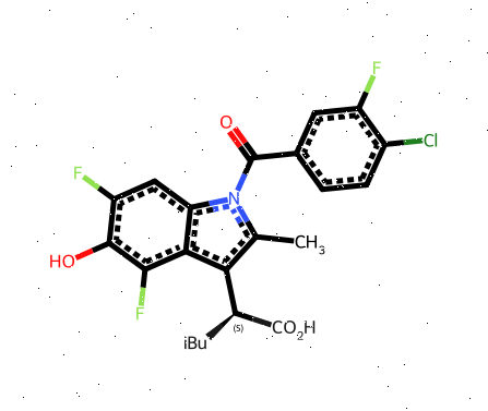 CCC(C)[C@H](C(=O)O)c1c(C)n(C(=O)c2ccc(Cl)c(F)c2)c2cc(F)c(O)c(F)c12